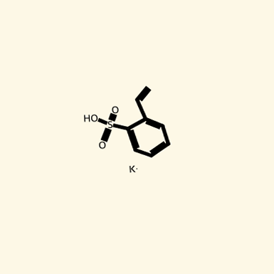 C=Cc1ccccc1S(=O)(=O)O.[K]